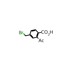 CC(=O)c1cc(CBr)ccc1C(=O)O